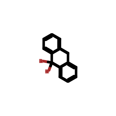 BrC1(Br)c2ccccc2Cc2ccccc21